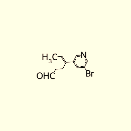 CC=C(CCC=O)c1cncc(Br)c1